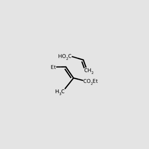 C=CC(=O)O.CCC=C(C)C(=O)OCC